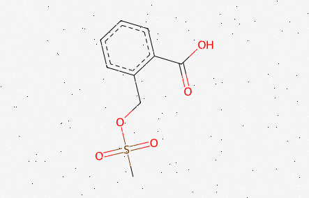 CS(=O)(=O)OCc1ccccc1C(=O)O